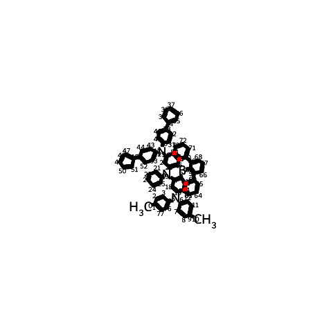 Cc1ccc(N(c2ccc(C)cc2)c2ccc3c(c2)N(c2ccccc2)c2cc(N(c4ccc(-c5ccccc5)cc4)c4ccc(-c5ccccc5)cc4)ccc2B3c2c(-c3ccccc3)cccc2-c2ccccc2)cc1